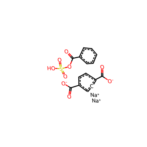 O=C(OS(=O)(=O)O)c1ccccc1.O=C([O-])c1ccc(C(=O)[O-])cc1.[Na+].[Na+]